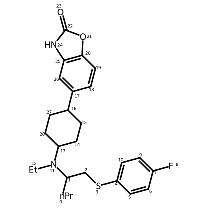 CCCC(CSc1ccc(F)cc1)N(CC)C1CCC(c2ccc3oc(=O)[nH]c3c2)CC1